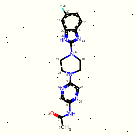 CC(=O)Nc1cnc(N2CCN(c3nc4ccc(F)cc4[nH]3)CC2)cn1